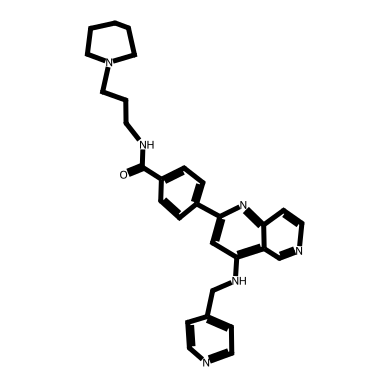 O=C(NCCCN1CCCCC1)c1ccc(-c2cc(NCc3ccncc3)c3cnccc3n2)cc1